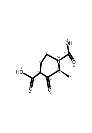 C[C@H]1C(=O)C(C(=O)O)CCN1C(=O)O